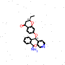 CC[C@@H]1CC(=O)c2ccc(O[C@@H](c3ccncc3)c3ccccc3C(N)=O)cc2O1